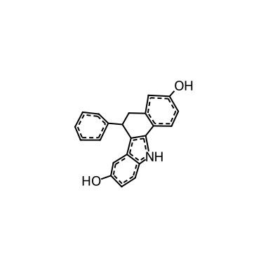 Oc1ccc2c(c1)CC(c1ccccc1)c1c-2[nH]c2ccc(O)cc12